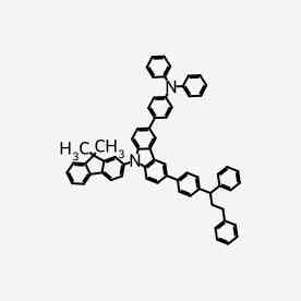 CC1(C)c2ccccc2-c2ccc(-n3c4ccc(-c5ccc(C(CCc6ccccc6)c6ccccc6)cc5)cc4c4cc(-c5ccc(N(c6ccccc6)c6ccccc6)cc5)ccc43)cc21